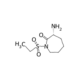 CCS(=O)(=O)N1CCCC[C@@H](N)C1=O